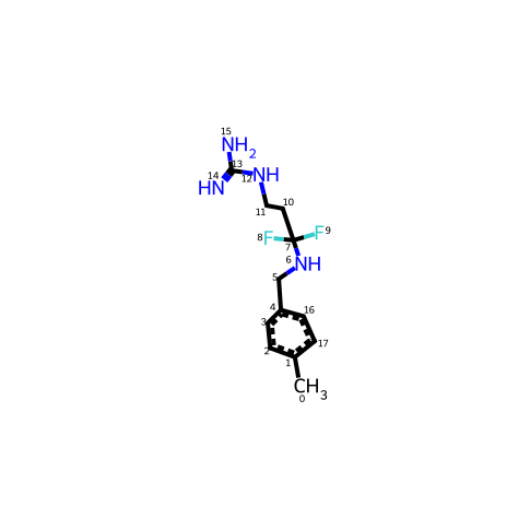 Cc1ccc(CNC(F)(F)CCNC(=N)N)cc1